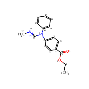 CCOC(=O)c1ccc(N(/C=N/C)c2ccccc2)cc1